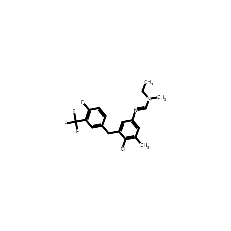 CCN(C)C=Nc1cc(C)c(Cl)c(Cc2ccc(F)c(C(F)(F)F)c2)c1